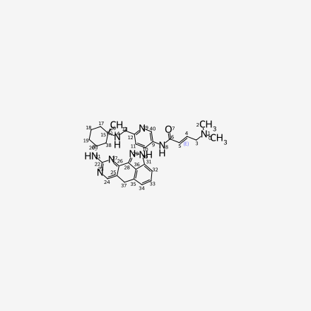 CN(C)C/C=C/C(=O)Nc1ccc(CN[C@@]2(C)CCC[C@@H](Nc3ncc4c(n3)-c3n[nH]c5cccc(c35)C4)C2)nc1